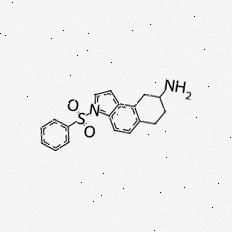 NC1CCc2ccc3c(ccn3S(=O)(=O)c3ccccc3)c2C1